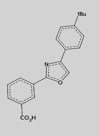 CC(C)(C)c1ccc(-c2coc(-c3cccc(C(=O)O)c3)n2)cc1